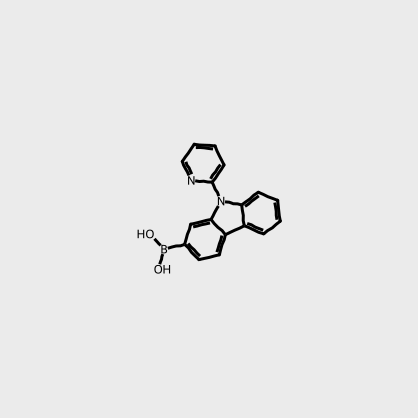 OB(O)c1ccc2c3ccccc3n(-c3ccccn3)c2c1